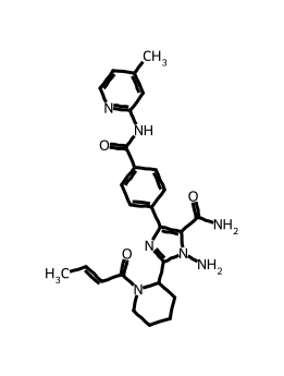 CC=CC(=O)N1CCCCC1c1nc(-c2ccc(C(=O)Nc3cc(C)ccn3)cc2)c(C(N)=O)n1N